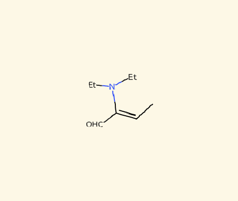 CC=C(C=O)N(CC)CC